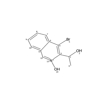 CC(O)c1c(Br)c2ccccc2c[n+]1O